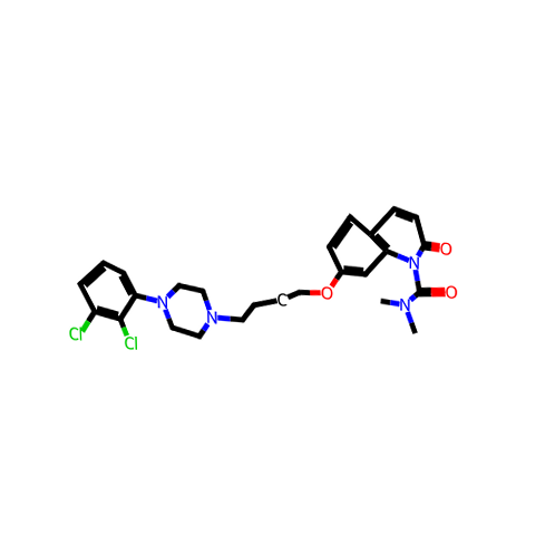 CN(C)C(=O)n1c(=O)ccc2ccc(OCCCCN3CCN(c4cccc(Cl)c4Cl)CC3)cc21